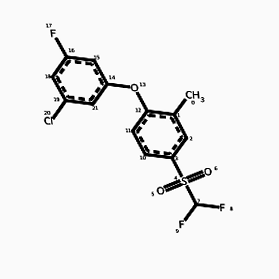 Cc1cc(S(=O)(=O)C(F)F)ccc1Oc1cc(F)cc(Cl)c1